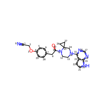 N#CCOc1ccc(CC(=O)N2CCN(c3ncnc4[nH]ccc34)CC23CC3)cc1